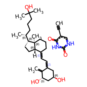 C#Cc1c[nH]c(=O)[nH]c1=O.C=C1/C(=C\C=C2/CCC[C@]3(C)[C@@H]([C@H](C)CCCC(C)(C)O)CC[C@@H]23)C[C@@H](O)C[C@@H]1O